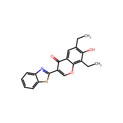 CCc1cc2c(=O)c(-c3nc4ccccc4s3)coc2c(CC)c1O